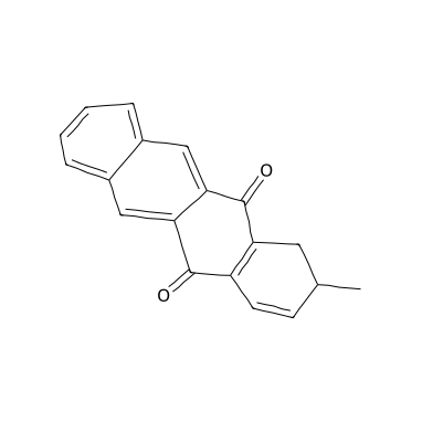 CC1C=CC2=C(C1)C(=O)c1cc3ccccc3cc1C2=O